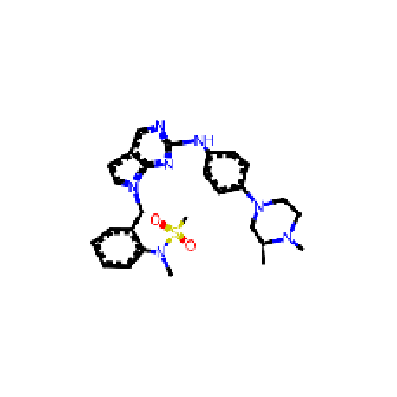 C[C@H]1CN(c2ccc(Nc3ncc4ccn(Cc5ccccc5N(C)S(C)(=O)=O)c4n3)cc2)CCN1C